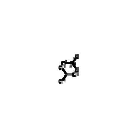 ClC(Cl)Cl.[Cl][Sb]([Cl])[Cl]